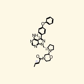 C/C=C/C(=O)N1CCOC(N2CCC[C@H]2Cn2nc(-c3ccc(Oc4ccccc4)cc3)c3c(N)ncnc32)C1